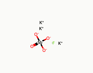 [F].[K+].[K+].[K+].[O]=[Sb]([O-])([O-])[O-]